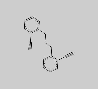 C#Cc1ccccc1CSCc1ccccc1C#C